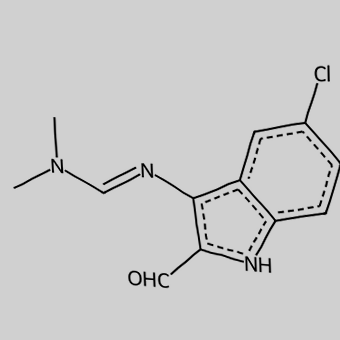 CN(C)C=Nc1c(C=O)[nH]c2ccc(Cl)cc12